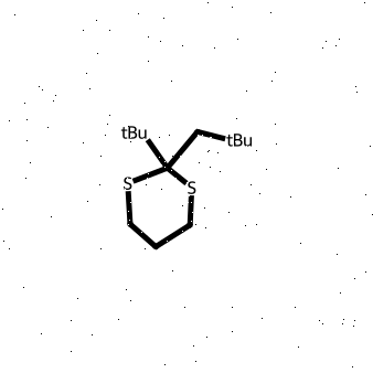 CC(C)(C)CC1(C(C)(C)C)SCCCS1